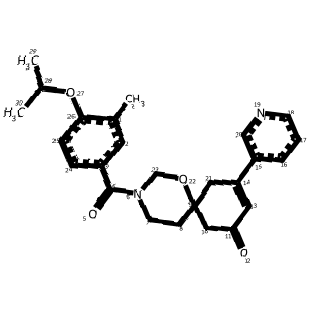 Cc1cc(C(=O)N2CCC3(CC(=O)C=C(c4cccnc4)C3)OC2)ccc1OC(C)C